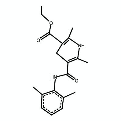 CCOC(=O)C1=C(C)NC(C)=C(C(=O)Nc2c(C)cccc2C)C1